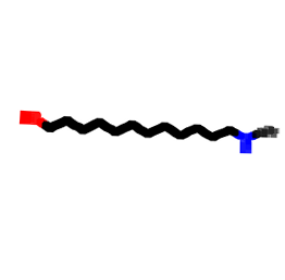 CCCNCCCCCCCCCCCCO